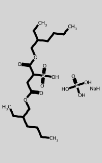 CCCCC(CC)COC(=O)CC(C(=O)OCC(CC)CCCC)S(=O)(=O)O.O=P(O)(O)O.[NaH]